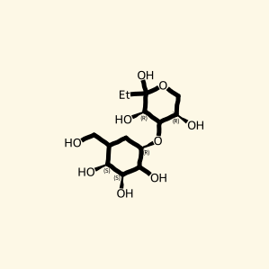 CCC1(O)OC[C@@H](O)C(O[C@@H]2CC(CO)[C@H](O)[C@H](O)C2O)[C@H]1O